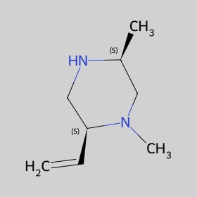 C=C[C@H]1CN[C@@H](C)CN1C